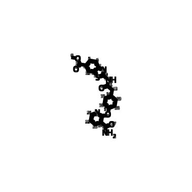 COC(=O)c1ccc2nc(NC(=O)Cc3ccc(Oc4ncccc4C(N)=O)cc3)sc2c1